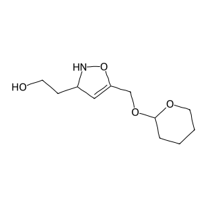 OCCC1C=C(COC2CCCCO2)ON1